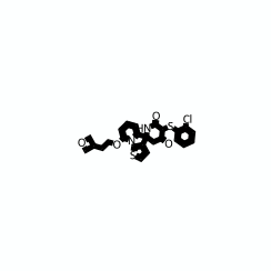 O=C1CC(c2ccsc2)(c2cccc(OCCC3COC3)n2)NC(=O)C1Sc1ccccc1Cl